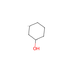 O[C]1C[CH]CCC1